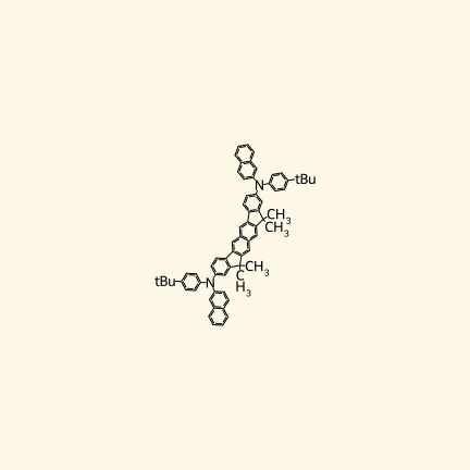 CC(C)(C)c1ccc(N(c2ccc3c(c2)C(C)(C)c2cc4cc5c(cc4cc2-3)-c2ccc(N(c3ccc(C(C)(C)C)cc3)c3ccc4ccccc4c3)cc2C5(C)C)c2ccc3ccccc3c2)cc1